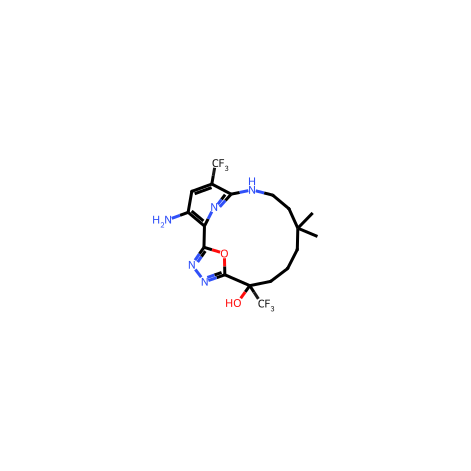 CC1(C)CCCC(O)(C(F)(F)F)c2nnc(o2)-c2nc(c(C(F)(F)F)cc2N)NCC1